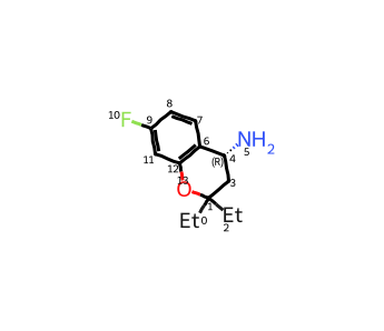 CCC1(CC)C[C@@H](N)c2ccc(F)cc2O1